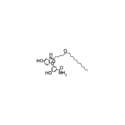 CCCCCCCCCCCC1OC1CCCCC(=O)Nc1cc(O)ccc1Oc1cc(O)cc(C(N)=O)c1